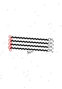 CCCCCCCCCCCCCCCCCCCCCCCCCCCC(=O)[O-].CCCCCCCCCCCCCCCCCCCCCCCCCCCC(=O)[O-].CCCCCCCCCCCCCCCCCCCCCCCCCCCC(=O)[O-].CCCCCCCCCCCCCCCCCCCCCCCCCCCC(=O)[O-].[Sn+4]